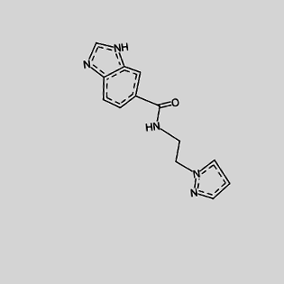 O=C(NCCn1cccn1)c1ccc2nc[nH]c2c1